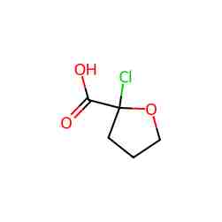 O=C(O)C1(Cl)CCCO1